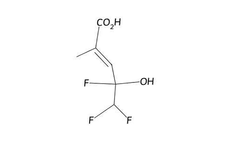 CC(=CC(O)(F)C(F)F)C(=O)O